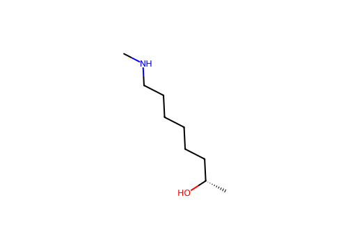 CNCCCCCC[C@H](C)O